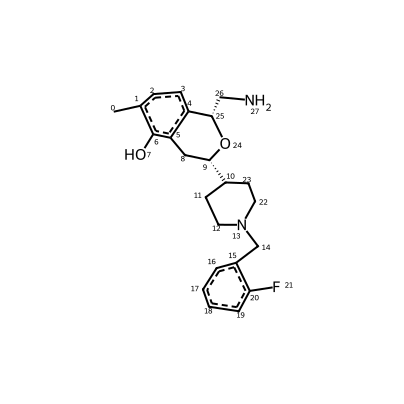 Cc1ccc2c(c1O)C[C@@H](C1CCN(Cc3ccccc3F)CC1)O[C@H]2CN